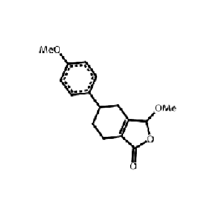 COc1ccc(C2CCC3=C(C2)C(OC)OC3=O)cc1